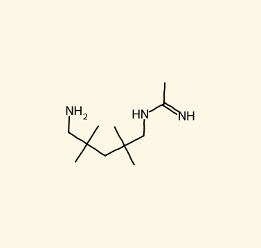 CC(=N)NCC(C)(C)CC(C)(C)CN